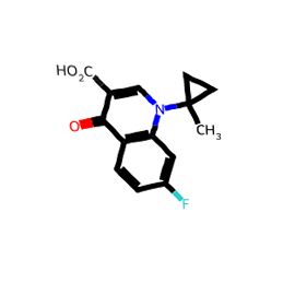 CC1(n2cc(C(=O)O)c(=O)c3ccc(F)cc32)CC1